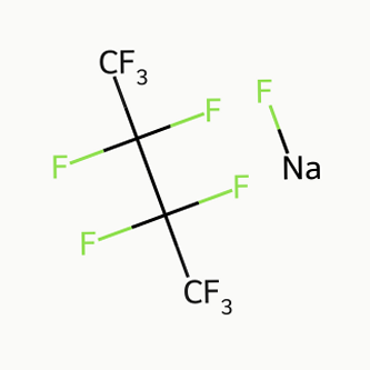 FC(F)(F)C(F)(F)C(F)(F)C(F)(F)F.[F][Na]